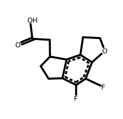 O=C(O)CC1CCc2c(F)c(F)c3c(c21)CCO3